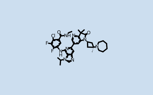 CCNC(=O)c1cc(Nc2nc(-c3cnc4c(c3)N([C@H]3C[C@@](C)(N5CCCCCC5)C3)C(=O)C4(C)C)cc3ncn(C(C)C)c23)c(F)c(F)c1Cl